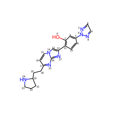 Oc1cc(-n2nccn2)ccc1-c1cn2ccc(CCC3CCCN3)nc2n1